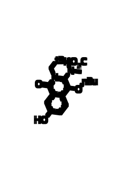 CCCCOc1c(N(C)C(=O)O)n(CC(C)(C)C)c(=O)c2cc(O)ccc12